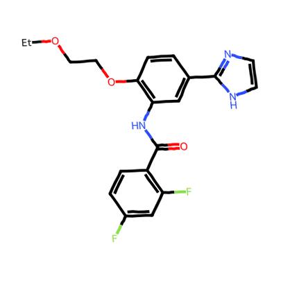 CCOCCOc1ccc(-c2ncc[nH]2)cc1NC(=O)c1ccc(F)cc1F